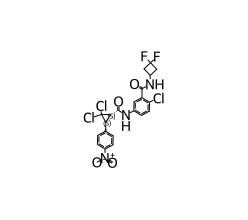 O=C(NC1CC(F)(F)C1)c1cc(NC(=O)[C@@H]2[C@@H](c3ccc([N+](=O)[O-])cc3)C2(Cl)Cl)ccc1Cl